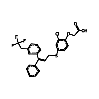 O=C(O)COc1ccc(SCC=C(c2ccccc2)c2cccc(CC(F)(F)F)c2)cc1Cl